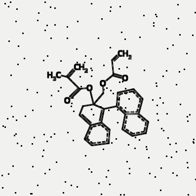 C=CC(=O)OCC1(OC(=O)C(=C)C)CC=c2ccccc2=C1c1cccc2ccccc12